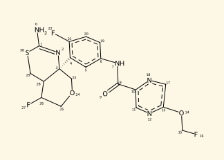 NC1=N[C@@]2(c3cc(NC(=O)c4cnc(OCF)cn4)ccc3F)COCC(F)C2CS1